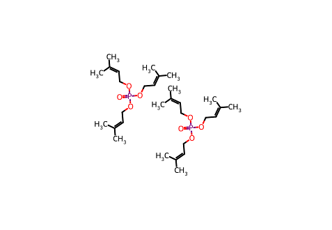 CC(C)=CCOP(=O)(OCC=C(C)C)OCC=C(C)C.CC(C)=CCOP(=O)(OCC=C(C)C)OCC=C(C)C